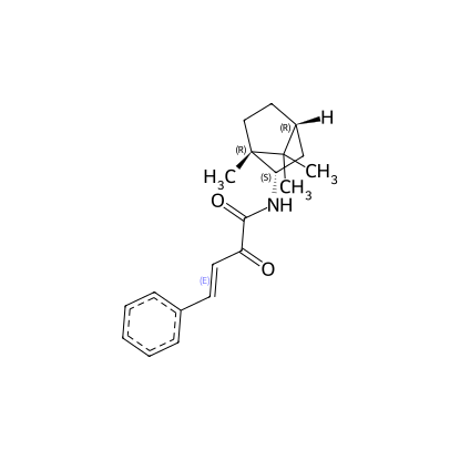 CC1(C)[C@@H]2CC[C@@]1(C)[C@@H](NC(=O)C(=O)/C=C/c1ccccc1)C2